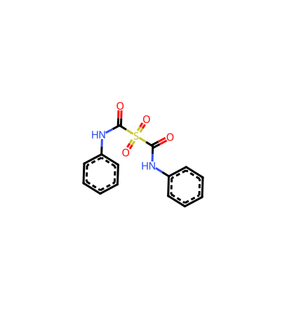 O=C(Nc1ccccc1)S(=O)(=O)C(=O)Nc1ccccc1